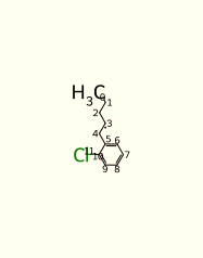 CCC[CH]Cc1ccccc1Cl